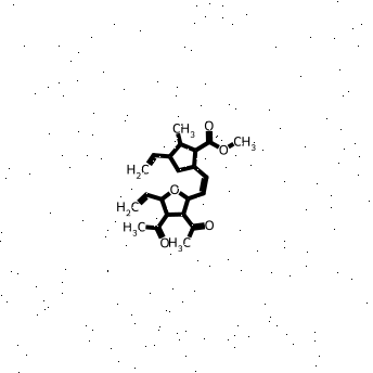 C=CC1CC(/C=C\C2OC(C=C)C(C(C)=O)C2C(C)=O)C(C(=O)OC)C1C